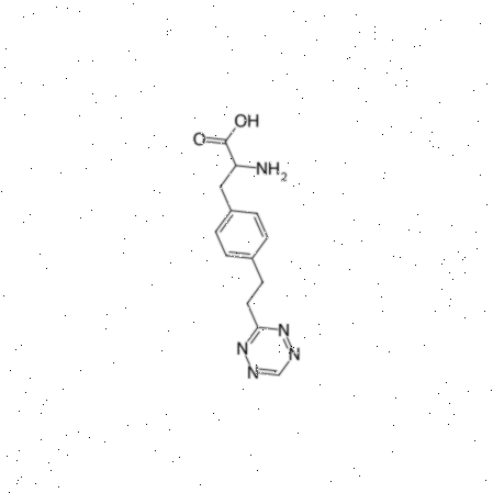 NC(Cc1ccc(CCc2nncnn2)cc1)C(=O)O